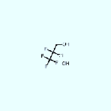 Cl.OCC(F)(Cl)C(F)(F)F